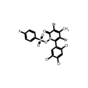 Cc1c(Br)c(-c2cc(Cl)c(Cl)cc2Cl)n(OS(=O)(=O)c2ccc(F)cc2)c(=O)c1Br